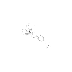 CC(F)(F)CCc1ccc(C2CCN(S(=O)(=O)C3(C(=O)OC(C)(C)C)CCOCC3)CC2)nc1